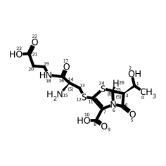 CC(O)[C@H]1C(=O)N2C(C(=O)O)=C(SC[C@@H](N)C(=O)NCCC(=O)O)S[C@H]12